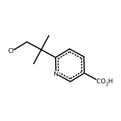 CC(C)(CCl)c1ccc(C(=O)O)cn1